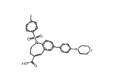 Cc1ccc(S(=O)(=O)N2CCC(C(=O)O)=Cc3cc(-c4ccc(N5CCOCC5)cc4)ccc32)cc1